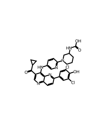 O=C(O)NC1CCCN(c2ccc(Nc3c(C(=O)C4CC4)cnc4ccc(-c5cc(Cl)c(O)c(Cl)c5)nc34)cn2)C1